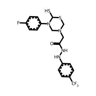 O=C(CN1CSC(S)N(c2ccc(F)cc2)C1)NNc1ccc(C(F)(F)F)cc1